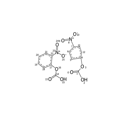 O=C(O)Oc1ccc([N+](=O)[O-])cc1.O=C(O)Oc1ccccc1[N+](=O)[O-]